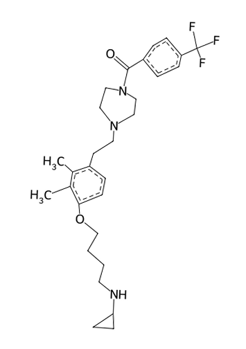 Cc1c(CCN2CCN(C(=O)c3ccc(C(F)(F)F)cc3)CC2)ccc(OCCCCNC2CC2)c1C